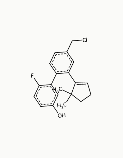 CC1(C)CCC=C1c1cc(CCl)ccc1-c1cc(O)ccc1F